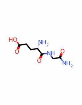 NC(=O)CNC(=O)[C@@H](N)CCC(=O)O